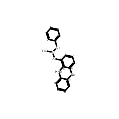 OB(Oc1ccccc1)Oc1cccc2c1Nc1ccccc1S2